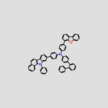 c1ccc(-c2ccccc2-c2ccc(N(c3ccc(-c4ccc5c6ccc7ccccc7c6n(-c6ccccc6)c5c4)cc3)c3ccc(-c4cccc5c4oc4ccccc45)cc3)cc2)cc1